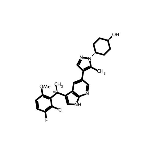 COc1ccc(F)c(Cl)c1[C@@H](C)c1c[nH]c2ncc(-c3cnn([C@H]4CC[C@H](O)CC4)c3C)cc12